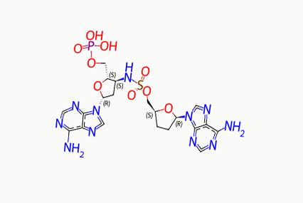 Nc1ncnc2c1ncn2[C@H]1CC[C@@H](COS(=O)(=O)N[C@H]2C[C@H](n3cnc4c(N)ncnc43)O[C@@H]2COP(=O)(O)O)O1